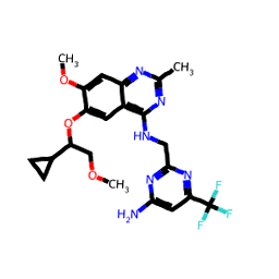 COCC(Oc1cc2c(NCc3nc(N)cc(C(F)(F)F)n3)nc(C)nc2cc1OC)C1CC1